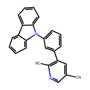 N#Cc1cnc(C#N)c(-c2cccc(-n3c4ccccc4c4ccccc43)c2)c1